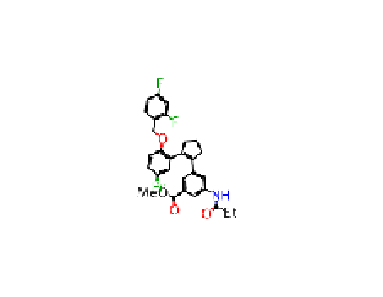 CCC(=O)Nc1cc(C(=O)OC)cc(C2=C(c3cc(Br)ccc3OCc3ccc(F)cc3F)CCC2)c1